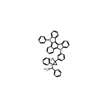 NC(c1ccccc1)[C@]1(c2ccccc2)CC1(N)c1cccc(-n2c3ccccc3c3c4c5ccccc5n(-c5ccccc5)c4c4ccccc4c32)c1